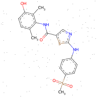 Cc1ccc(O)c(C)c1NC(=O)c1cnc(Nc2ccc(S(C)(=O)=O)cc2)s1